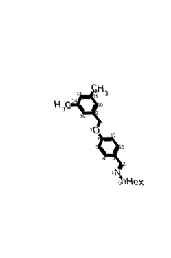 CCCCCCN=Cc1ccc(OCc2cc(C)cc(C)c2)cc1